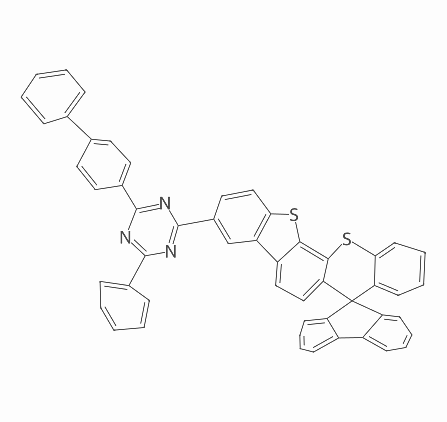 c1ccc(-c2ccc(-c3nc(-c4ccccc4)nc(-c4ccc5sc6c7c(ccc6c5c4)C4(c5ccccc5S7)c5ccccc5-c5ccccc54)n3)cc2)cc1